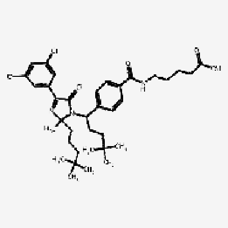 CC(C)(C)CCCC1(C)N=C(c2cc(Cl)cc(Cl)c2)C(=O)N1C(CCC(C)(C)C)c1ccc(C(=O)NCCCCC(=O)O)cc1